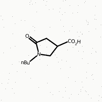 CCCCN1CC(C(=O)O)CC1=O